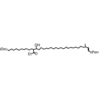 CCCCC/C=C/C(C)CCCCCCCCCCCCCCCCCCCC(O)C(CCCCCCCCCCCCCCCCCCCC)C(=O)CC